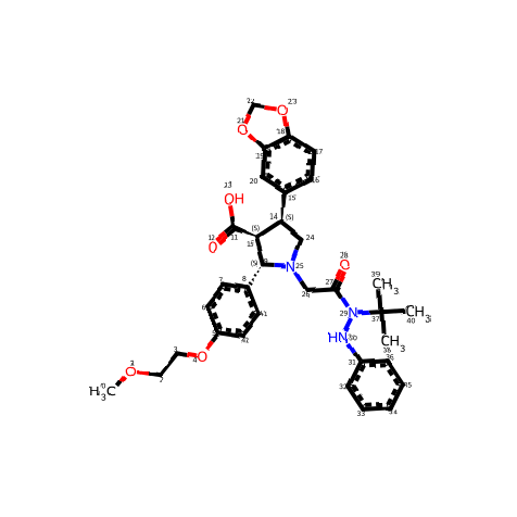 COCCOc1ccc([C@@H]2[C@@H](C(=O)O)[C@@H](c3ccc4c(c3)OCO4)CN2CC(=O)N(Nc2ccccc2)C(C)(C)C)cc1